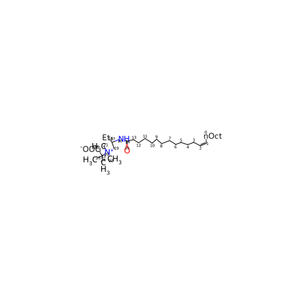 CCCCCCCC/C=C\CCCCCCCCCCCC(=O)NC(CC)C[N+](C)(C)C(C)(C)C(=O)[O-]